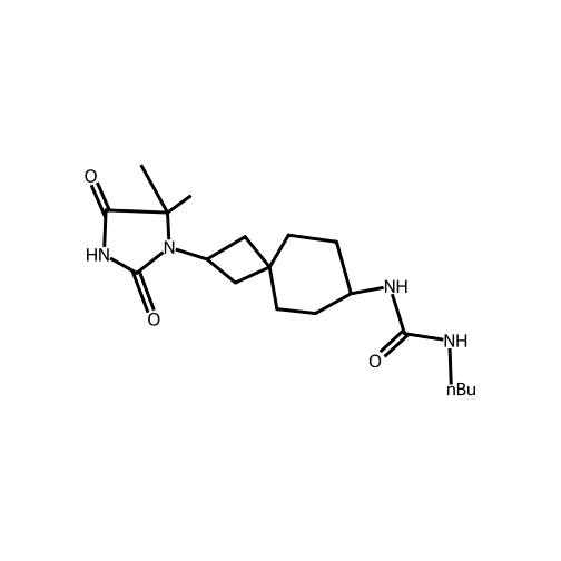 CCCCNC(=O)NC1CCC2(CC1)CC(N1C(=O)NC(=O)C1(C)C)C2